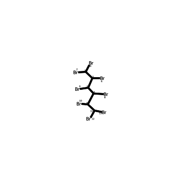 BrC(Br)C(Br)C(Br)C(Br)C(Br)C(Br)Br